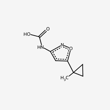 CC1(c2cc(NC(=O)O)no2)CC1